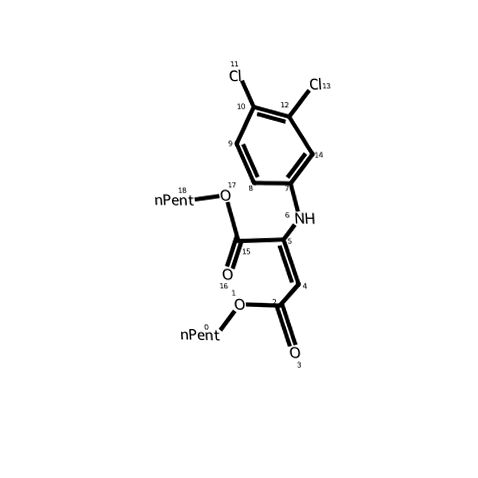 CCCCCOC(=O)C=C(Nc1ccc(Cl)c(Cl)c1)C(=O)OCCCCC